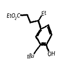 CCOC(=O)CCC(CC)c1ccc(O)c(C(C)(C)C)c1